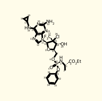 CCOC(=O)[C@H](C)N[P@@](=O)(OC[C@H]1O[C@@H](n2cnc3c(NC4CC4)nc(N)nc32)[C@@](Cl)(C(F)(F)F)[C@@H]1O)Oc1ccccc1